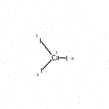 [I][Ca]([I])[I]